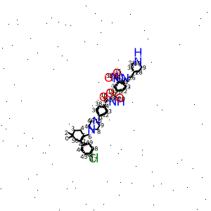 CC1(C)CCC(CN2CCN(c3ccc(C(=O)NS(=O)(=O)c4ccc(NCC5CCNCC5)c([N+](=O)[O-])c4)cc3)CC2)=C(c2ccc(Cl)cc2)C1